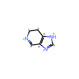 C1=NCCc2[nH]cnc21